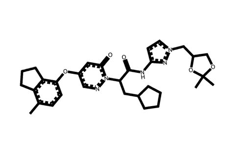 Cc1ccc(Oc2cnn(C(CC3CCCC3)C(=O)Nc3ccn(CC4COC(C)(C)O4)n3)c(=O)c2)c2c1CCC2